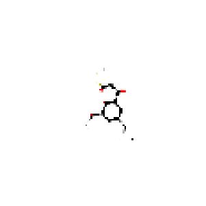 CCSc1cc(=O)c2cc(CC#N)cc(C(C)O)c2o1